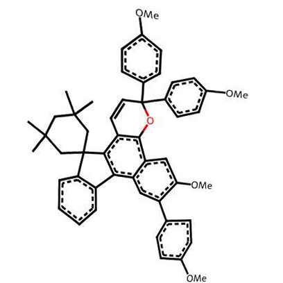 COc1ccc(-c2cc3c4c(c5c(c3cc2OC)OC(c2ccc(OC)cc2)(c2ccc(OC)cc2)C=C5)C2(CC(C)(C)CC(C)(C)C2)c2ccccc2-4)cc1